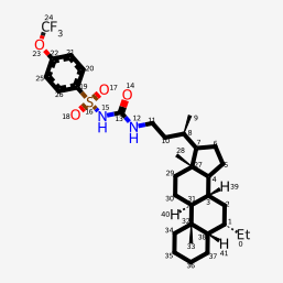 CC[C@H]1C[C@H]2C3CCC([C@H](C)CCNC(=O)NS(=O)(=O)c4ccc(OC(F)(F)F)cc4)[C@@]3(C)CC[C@@H]2[C@@]2(C)CCCC[C@@H]12